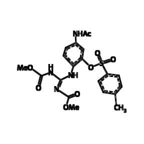 COC(=O)N=C(NC(=O)OC)Nc1ccc(NC(C)=O)cc1OS(=O)(=O)c1ccc(C)cc1